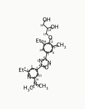 CCc1cc(-c2nc(-c3cc(C)c(OCC(O)CO)c(CC)c3)no2)cc(N(C)C)n1